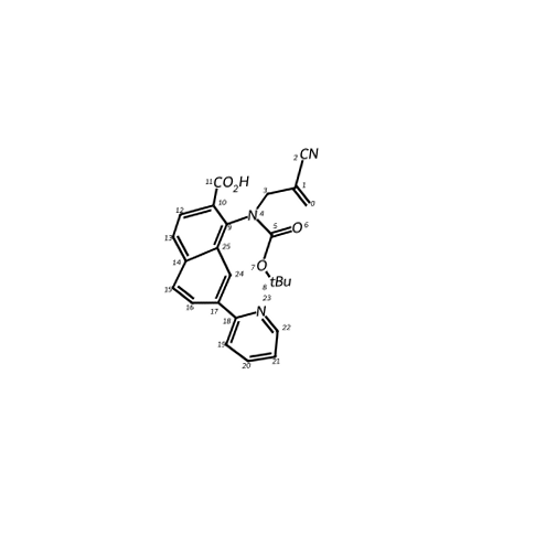 C=C(C#N)CN(C(=O)OC(C)(C)C)c1c(C(=O)O)ccc2ccc(-c3ccccn3)cc12